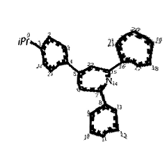 CC(C)c1ccc(-c2cc(-c3ccccc3)nc(-c3ccccc3)c2)cc1